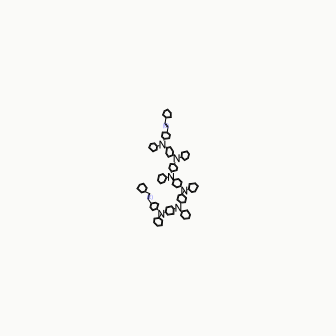 C(=C\c1ccc(N(c2ccccc2)c2ccc(N(c3ccccc3)c3ccc(N(c4ccccc4)c4ccc(N(c5ccccc5)c5ccc(N(c6ccccc6)c6ccc(N(c7ccccc7)c7ccc(/C=C/c8ccccc8)cc7)cc6)cc5)cc4)cc3)cc2)cc1)/c1ccccc1